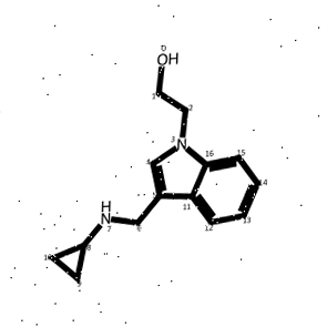 OCCn1cc(CNC2CC2)c2ccccc21